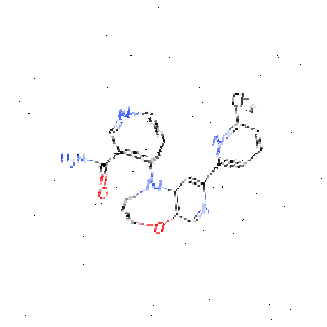 Cc1cccc(-c2cc3c(cn2)OCCN3c2ccncc2C(N)=O)n1